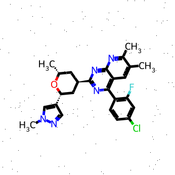 Cc1cc2c(-c3ccc(Cl)cc3F)nc([C@@H]3C[C@@H](C)O[C@@H](c4cnn(C)c4)C3)nc2nc1C